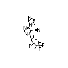 N#Cc1c(OCC(F)(F)C(F)C(F)(F)F)ncnc1-n1cncn1